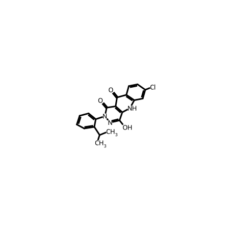 CC(C)c1ccccc1-n1nc(O)c2[nH]c3cc(Cl)ccc3c(=O)c2c1=O